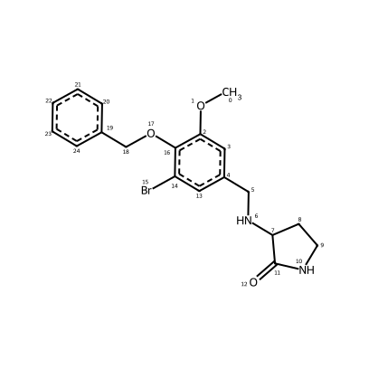 COc1cc(CNC2CCNC2=O)cc(Br)c1OCc1ccccc1